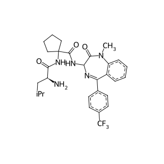 CC(C)C[C@H](N)C(=O)NC1(C(=O)NC2N=C(c3ccc(C(F)(F)F)cc3)c3ccccc3N(C)C2=O)CCCC1